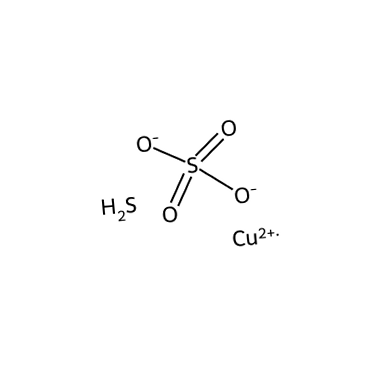 O=S(=O)([O-])[O-].S.[Cu+2]